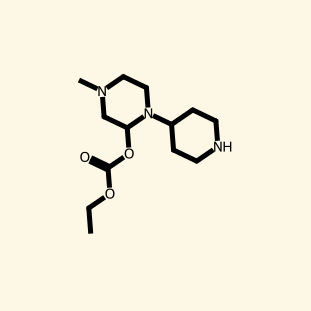 CCOC(=O)OC1CN(C)CCN1C1CCNCC1